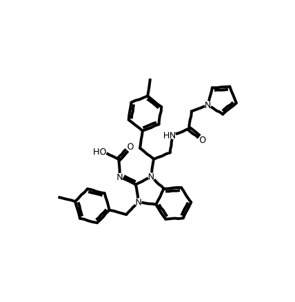 Cc1ccc(CC(CNC(=O)Cn2cccc2)n2c(=NC(=O)O)n(Cc3ccc(C)cc3)c3ccccc32)cc1